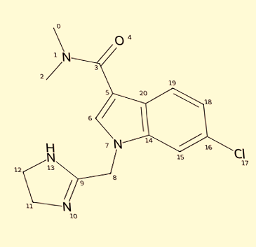 CN(C)C(=O)c1cn(CC2=NCCN2)c2cc(Cl)ccc12